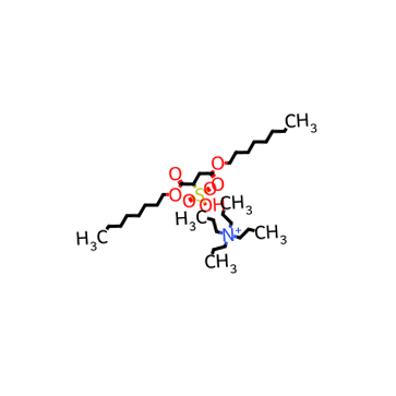 CCCCCCCCOC(=O)CC(C(=O)OCCCCCCCC)S(=O)(=O)O.CCC[N+](CCC)(CCC)CCC